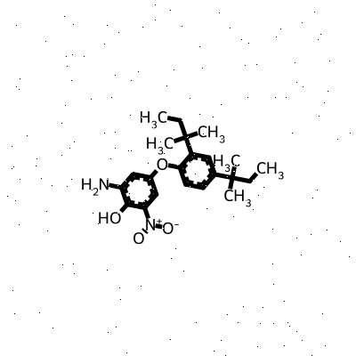 CCC(C)(C)c1ccc(Oc2cc(N)c(O)c([N+](=O)[O-])c2)c(C(C)(C)CC)c1